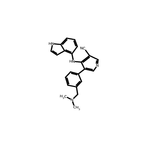 CN(C)Cc1cccc(-c2cncc(C#N)c2Nc2cccc3[nH]ccc23)c1